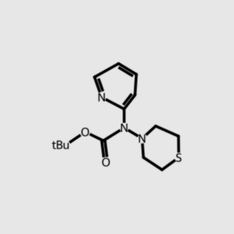 CC(C)(C)OC(=O)N(c1ccccn1)N1CCSCC1